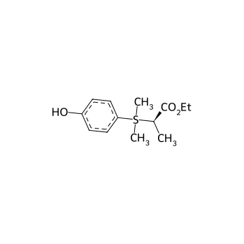 CCOC(=O)[C@@H](C)S(C)(C)c1ccc(O)cc1